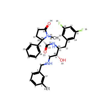 CCc1cccc(CNC[C@@H](O)[C@H](Cc2cc(F)cc(F)c2)NC(=O)[C@]2(c3ccccc3)CCC(=O)N2C)c1